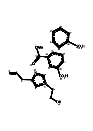 C=CCc1cn(CCO)cn1.COC(=O)c1cccc(C(=O)O)c1.O=S(=O)(O)c1ccccc1